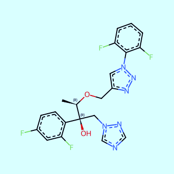 C[C@@H](OCc1cn(-c2c(F)cccc2F)nn1)[C@](O)(Cn1cncn1)c1ccc(F)cc1F